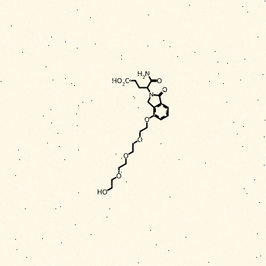 NC(=O)C(CCC(=O)O)N1Cc2c(OCCOCCOCCOCCO)cccc2C1=O